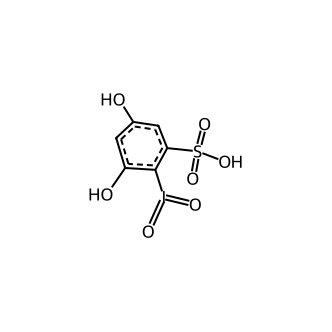 O=I(=O)c1c(O)cc(O)cc1S(=O)(=O)O